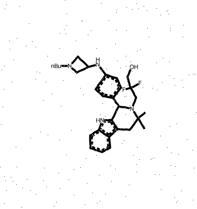 CCCCN1CC(Nc2ccc(C3c4[nH]c5ccccc5c4CC(C)(C)N3CC(F)(F)CO)cc2)C1